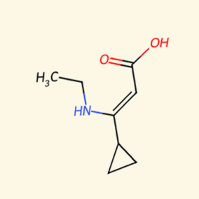 CCNC(=CC(=O)O)C1CC1